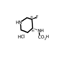 Cl.O=C(O)N[C@@H]1CCNC[C@H]1F